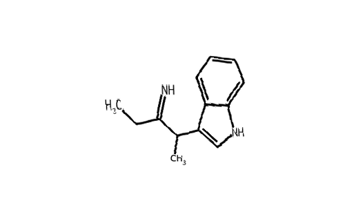 CCC(=N)C(C)c1c[nH]c2ccccc12